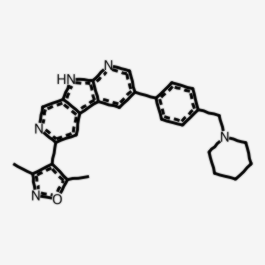 Cc1noc(C)c1-c1cc2c(cn1)[nH]c1ncc(-c3ccc(CN4CCCCC4)cc3)cc12